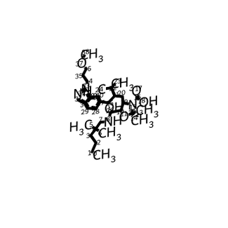 CCCCC(C)(C)CNCC1OC(C)(C)N(C(=O)O)C1CC(C(C)C)[C@H](O)c1ccc2cnn(CCCOC)c2c1